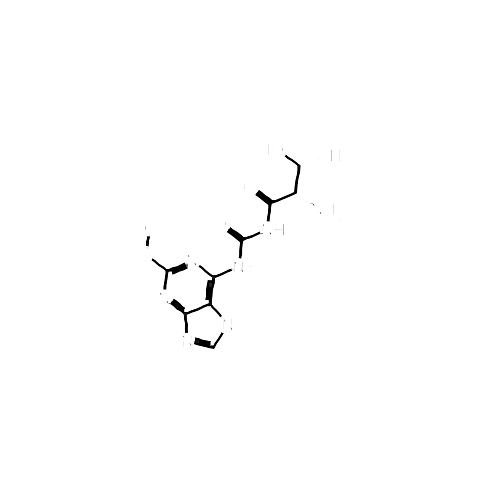 CSc1nc(NC(=O)NC(=O)[C@@H](N)[C@@H](C)O)c2[nH]cnc2n1